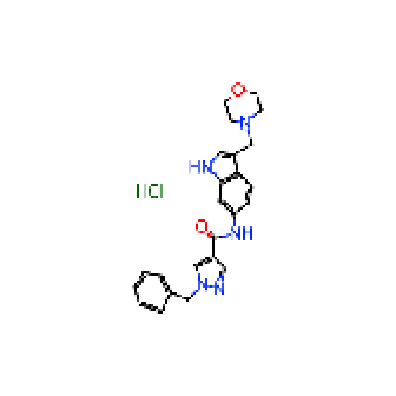 Cl.O=C(Nc1ccc2c(CN3CCOCC3)c[nH]c2c1)c1cnn(Cc2ccccc2)c1